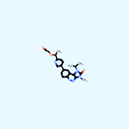 CC(OCC=O)c1ccc(-c2ccc3nnc4c(c3c2)n(C(C)C)c(=O)n4C)cn1